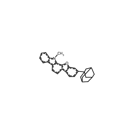 Cn1c2ccccc2c2ccc3c4ccc(C56CC7CC(CC(C7)C5)C6)cc4oc3c21